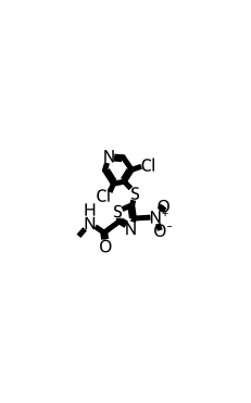 CNC(=O)c1nc([N+](=O)[O-])c(Sc2c(Cl)cncc2Cl)s1